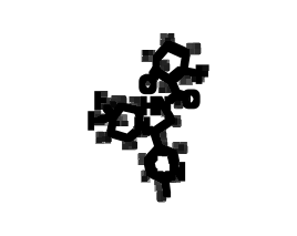 Cc1ccc(C(CNC(=O)C2=C(F)C=CCC2=O)N2CCC(F)(F)CC2)cn1